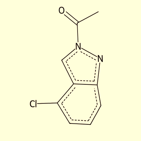 CC(=O)n1cc2c(Cl)cccc2n1